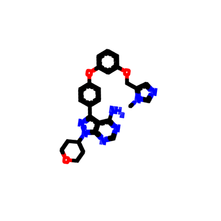 Cn1cncc1COc1cccc(Oc2ccc(-c3nn(C4CCOCC4)c4ncnc(N)c34)cc2)c1